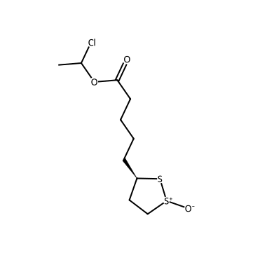 CC(Cl)OC(=O)CCCC[C@@H]1CC[S+]([O-])S1